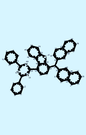 c1ccc(-c2nc(-c3ccccc3)nc(-c3ccc(C(c4ccc5ccccc5c4)c4ccc5ccccc5c4)c4sc5ccccc5c34)n2)cc1